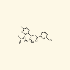 CC(=O)N(O)C(CC(=O)c1[c]c(C(C)C)ccc1)c1ccc(C)nc1OC(F)F